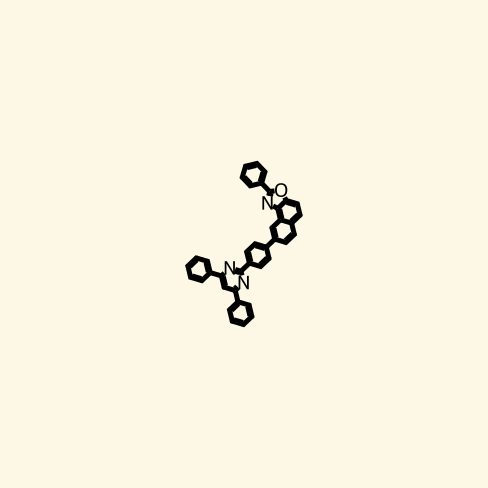 c1ccc(-c2cc(-c3ccccc3)nc(-c3ccc(-c4ccc5ccc6oc(-c7ccccc7)nc6c5c4)cc3)n2)cc1